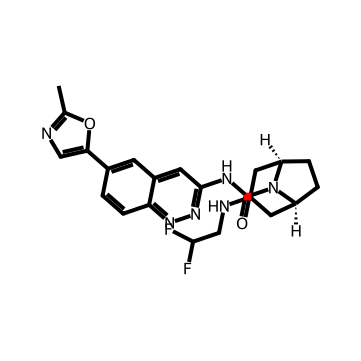 Cc1ncc(-c2ccc3nnc(NC(=O)N4[C@@H]5CC[C@H]4CC(NCC(F)F)C5)cc3c2)o1